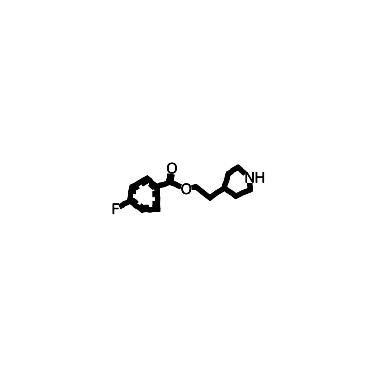 O=C(OCCC1CCNCC1)c1ccc(F)cc1